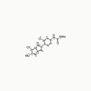 CNC(=O)Nc1ccc(-c2nn3nc(C(C)(C)C)c(Cl)c3[nH]2)c(Cl)c1